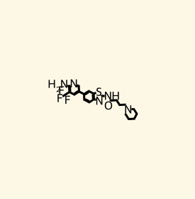 Nc1ncc(-c2ccc3nc(NC(=O)CCCN4CCCCC4)sc3c2)cc1C(F)(F)F